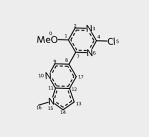 COc1cnc(Cl)nc1-c1cnc2c(ccn2C)c1